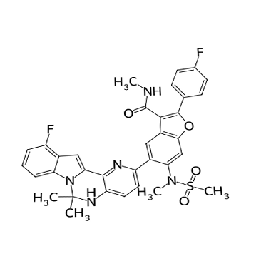 CNC(=O)c1c(-c2ccc(F)cc2)oc2cc(N(C)S(C)(=O)=O)c(-c3ccc4c(n3)-c3cc5c(F)cccc5n3C(C)(C)N4)cc12